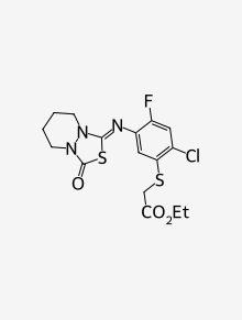 CCOC(=O)CSc1cc(N=c2sc(=O)n3n2CCCC3)c(F)cc1Cl